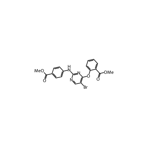 COC(=O)c1ccc(Nc2ncc(Br)c(Oc3ccccc3C(=O)OC)n2)cc1